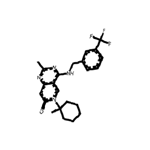 Cc1nc(NCc2cccc(C(F)(F)F)c2)c2cn(C3(C)CCCCC3)c(=O)cc2n1